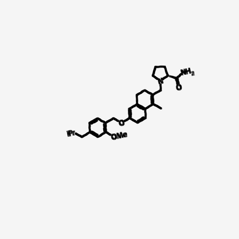 COc1cc(CC(C)C)ccc1COc1ccc2c(c1)CCC(CN1CCC[C@H]1C(N)=O)=C2C